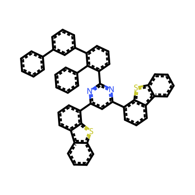 c1ccc(-c2cccc(-c3cccc(-c4nc(-c5cccc6c5sc5ccccc56)cc(-c5cccc6c5sc5ccccc56)n4)c3-c3ccccc3)c2)cc1